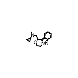 CN(CC1OCCn2nc3ccccc3c21)C1CC1